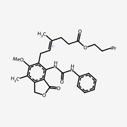 COc1c(C)c2c(c(NC(=O)Nc3ccccc3)c1C/C=C(\C)CCC(=O)OCCC(C)C)C(=O)OC2